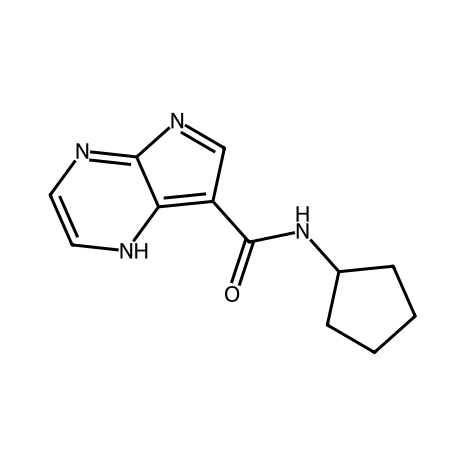 O=C(NC1CCCC1)c1cnc2ncc[nH]c1-2